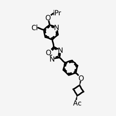 CC(=O)[C@H]1C[C@@H](Oc2ccc(-c3noc(-c4cnc(OC(C)C)c(Cl)c4)n3)cc2)C1